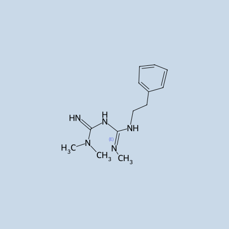 C/N=C(\NCCc1ccccc1)NC(=N)N(C)C